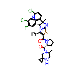 CC(C)C1=C(C(=O)N2CCC[C@@H]2C(=O)N2CC3(CC3)NC[C@@H]2C)SC2=N[C@@](C)(c3ccc(Cl)nc3)[C@@H](c3ccc(Cl)c(F)c3)N21